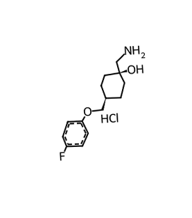 Cl.NC[C@]1(O)CC[C@@H](COc2ccc(F)cc2)CC1